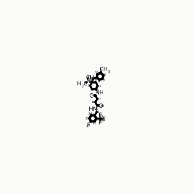 Cc1cccc(CC2(N(C)C)CCC(NC(=O)CCC(=O)NCc3ccc(F)cc3C(F)(F)F)CC2)c1